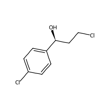 O[C@@H](CCCl)c1ccc(Cl)cc1